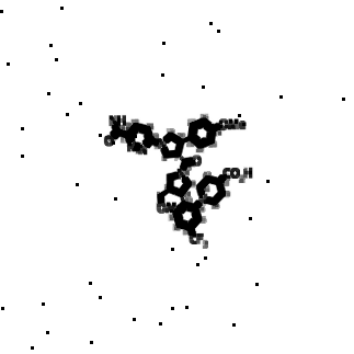 COC[C@H]1CN(C(=O)[C@@H]2CN(c3ccc(C(N)=O)nn3)C[C@H]2c2ccc(OC)cc2)C[C@@H]1c1ccc(C(F)(F)F)cc1N1CCC(C(=O)O)CC1